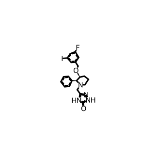 O=c1[nH]nc(CN2CCC[C@H](OCc3cc(F)cc(I)c3)[C@@H]2c2ccccc2)[nH]1